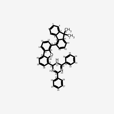 CC1(C)c2ccccc2-c2c(-c3cccc4c3oc3c(C5N=C(c6ccccc6)N=C(c6ccccc6)N5)cccc34)cccc21